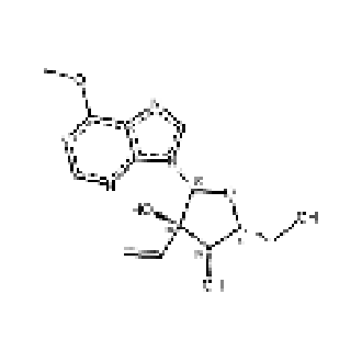 C=C[C@@]1(O)[C@H](O)[C@@H](CO)O[C@H]1n1cnc2c(OC)ncnc21